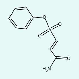 NC(=O)C=CS(=O)(=O)Oc1ccccc1